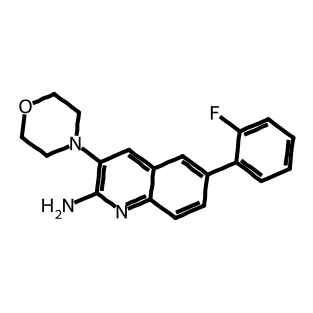 Nc1nc2ccc(-c3ccccc3F)cc2cc1N1CCOCC1